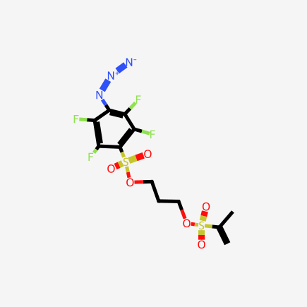 C=C(C)S(=O)(=O)OCCCOS(=O)(=O)c1c(F)c(F)c(N=[N+]=[N-])c(F)c1F